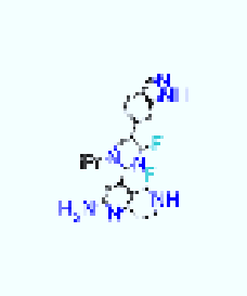 CC(C)N1C=C(c2ccc3cn[nH]c3c2)C(F)=NC1c1cc(N)nc2c1C(F)NCC2